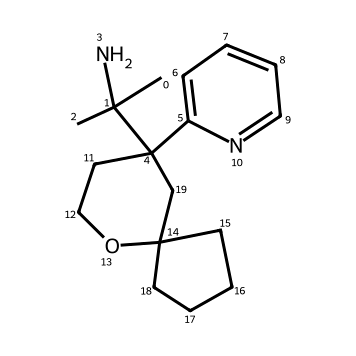 CC(C)(N)C1(c2ccccn2)CCOC2(CCCC2)C1